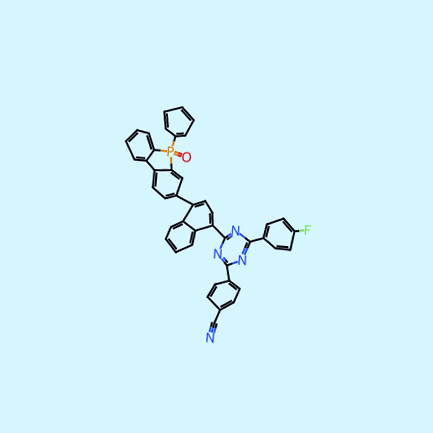 N#Cc1ccc(-c2nc(-c3ccc(F)cc3)nc(-c3ccc(-c4ccc5c(c4)P(=O)(c4ccccc4)c4ccccc4-5)c4ccccc34)n2)cc1